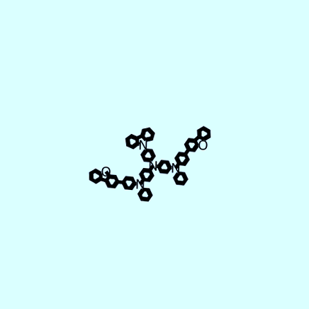 c1ccc(N(c2ccc(-c3ccc4c(c3)oc3ccccc34)cc2)c2ccc(N(c3ccc(N(c4ccccc4)c4ccc(-c5ccc6c(c5)oc5ccccc56)cc4)cc3)c3ccc(-n4c5ccccc5c5ccccc54)cc3)cc2)cc1